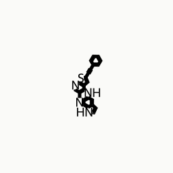 N#Cc1cnc2sc(C#Cc3ccccc3)cc2c1Nc1ccc2[nH]ccc2c1